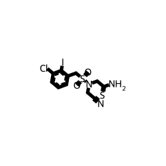 N#CCN(CC(N)=S)S(=O)(=O)Cc1cccc(Cl)c1I